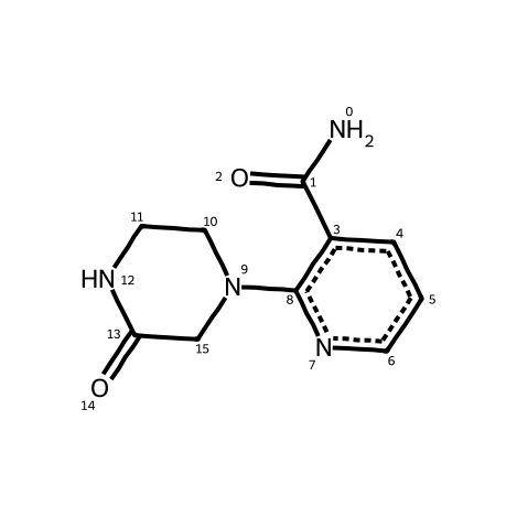 NC(=O)c1cccnc1N1CCNC(=O)C1